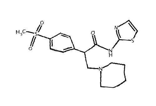 CS(=O)(=O)c1ccc(C(CN2CCCCC2)C(=O)Nc2nccs2)cc1